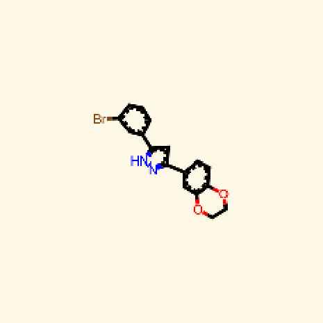 Brc1cccc(-c2cc(-c3ccc4c(c3)OCCO4)n[nH]2)c1